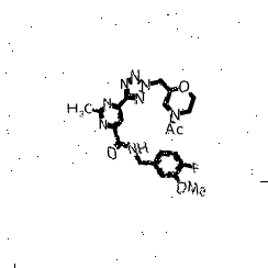 COc1cc(CNC(=O)c2cc(-c3nnn(CC4CN(C(C)=O)CCO4)n3)nc(C)n2)ccc1F